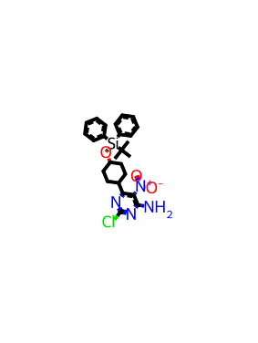 CC(C)(C)[Si](OC1CCC(c2nc(Cl)nc(N)c2[N+](=O)[O-])CC1)(c1ccccc1)c1ccccc1